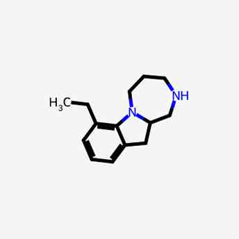 CCc1cccc2c1N1CCCNCC1C2